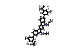 N#C/N=c1\c2cc(-c3cc(F)c(F)c(C(F)(F)F)c3)c#cc2c2cc3c(cc12)/c(=N\C#N)c1cc(-c2cc(F)c(F)c(C(F)(F)F)c2)ccc13